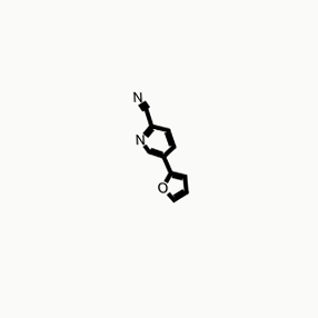 N#Cc1ccc(-c2ccco2)cn1